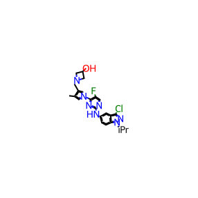 Cc1cn(-c2nc(Nc3ccc4c(c3)c(Cl)nn4C(C)C)ncc2F)cc1CN1CC(O)C1